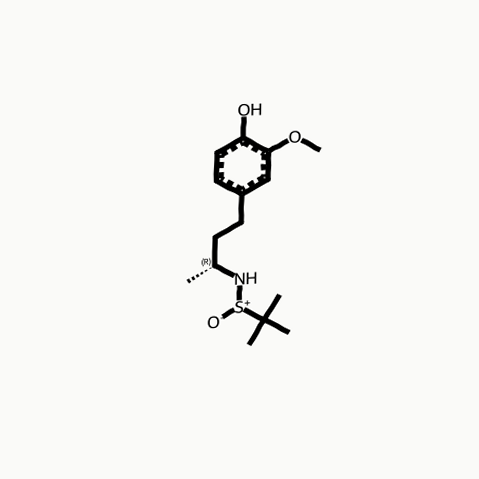 COc1cc(CC[C@@H](C)N[S+]([O-])C(C)(C)C)ccc1O